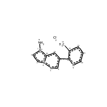 N[n+]1ccn2ncc(-c3ncccc3C(F)(F)F)cc21.[Cl-]